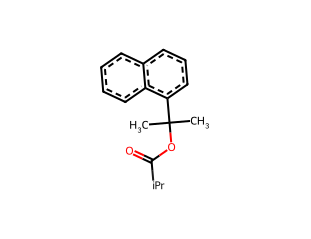 CC(C)C(=O)OC(C)(C)c1cccc2ccccc12